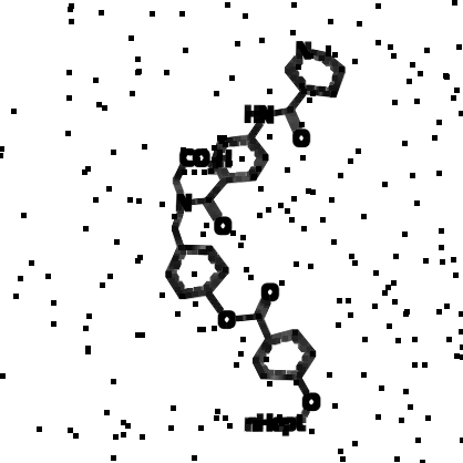 CCCCCCCOc1ccc(C(=O)Oc2ccc(CN(CC(=O)O)C(=O)c3ccc(NC(=O)c4cccnc4)cc3)cc2)cc1